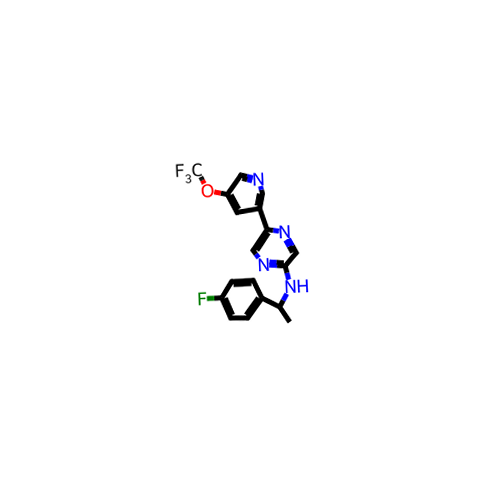 CC(Nc1cnc(-c2cncc(OC(F)(F)F)c2)cn1)c1ccc(F)cc1